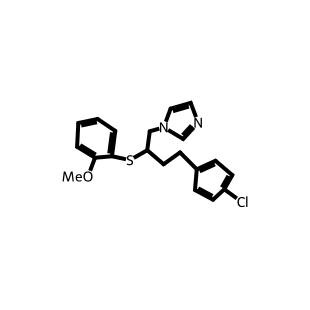 COc1ccccc1SC(CCc1ccc(Cl)cc1)Cn1ccnc1